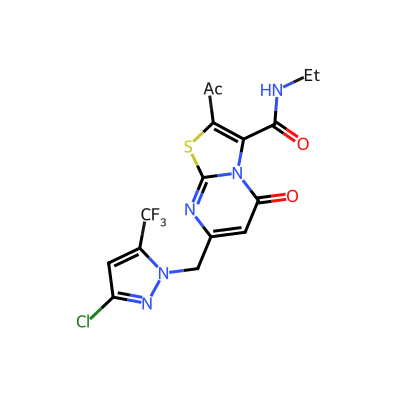 CCNC(=O)c1c(C(C)=O)sc2nc(Cn3nc(Cl)cc3C(F)(F)F)cc(=O)n12